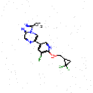 Fc1cc(-c2cn3c(C(F)(F)F)nnc3cn2)cnc1OC[C@H]1CC1(F)F